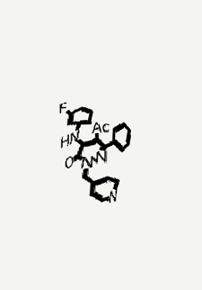 CC(=O)c1c(-c2ccccc2)nn(Cc2ccncc2)c(=O)c1Nc1cccc(F)c1